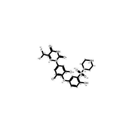 O=c1[nH]c(=O)n(-c2cc(Cl)c(Oc3ccc(O)c(S(=O)(=O)N4CCNCC4)c3)c(Cl)c2)nc1C(F)F